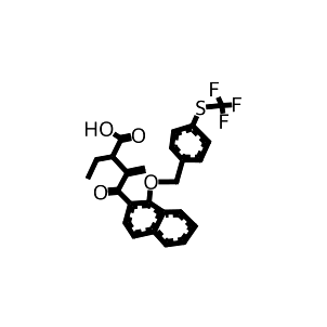 C=C(C(=O)c1ccc2ccccc2c1OCc1ccc(SC(F)(F)F)cc1)C(CC)C(=O)O